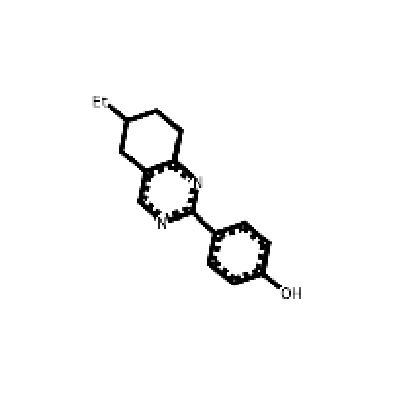 CCC1CCc2nc(-c3ccc(O)cc3)ncc2C1